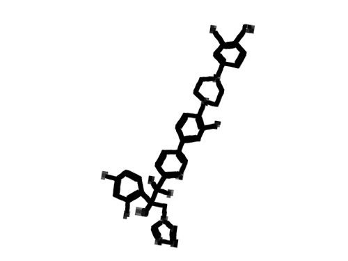 N#Cc1ccc(N2CCN(c3ccc(-c4ccc(C(F)(F)C(O)(Cn5cnnn5)c5ccc(F)cc5F)nc4)cc3F)CC2)cc1F